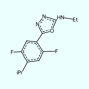 CCNc1nnc(-c2cc(F)c(C(C)C)cc2F)o1